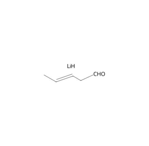 CC=CCC=O.[LiH]